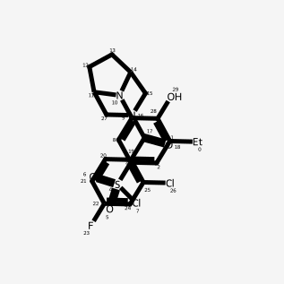 CCc1cc(S(=O)(=O)Cl)cc(N2C3CCC2CN(C(=O)c2ccc(F)cc2Cl)C3)c1O